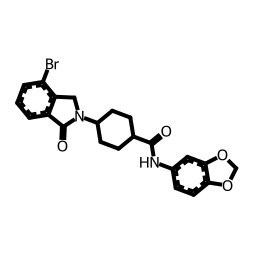 O=C(Nc1ccc2c(c1)OCO2)C1CCC(N2Cc3c(Br)cccc3C2=O)CC1